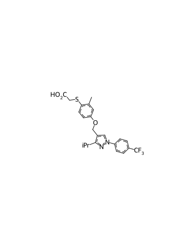 Cc1cc(OCc2cn(-c3ccc(C(F)(F)F)cc3)nc2C(C)C)ccc1SCC(=O)O